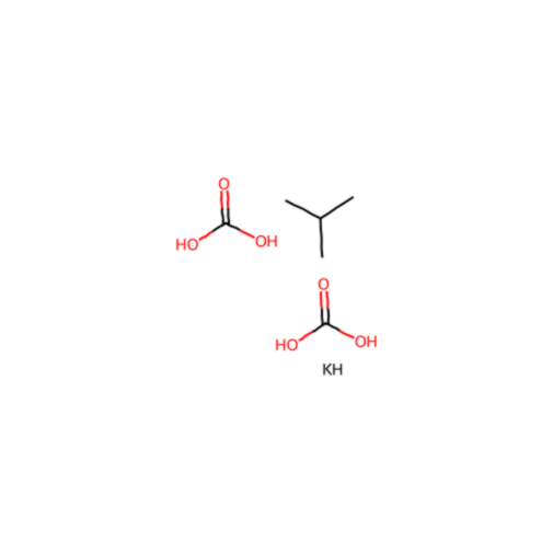 CC(C)C.O=C(O)O.O=C(O)O.[KH]